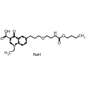 CCCCOC(=O)NCCOCCCc1ccc2c(c1)c(=O)c(C(=O)O)cn2CC.[NaH]